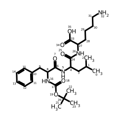 CC(C)CC(NC(=O)C(Cc1ccccc1)NC(=O)OC(C)(C)C)C(=O)NC(CCCCN)C(=O)O